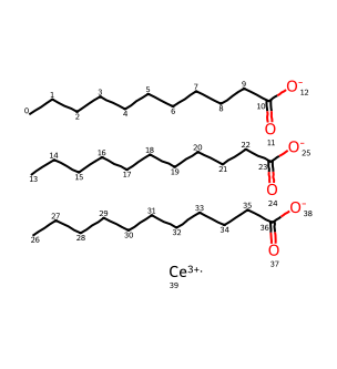 CCCCCCCCCCC(=O)[O-].CCCCCCCCCCC(=O)[O-].CCCCCCCCCCC(=O)[O-].[Ce+3]